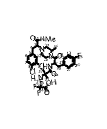 CNC(=O)C(Cc1ccc(Cl)c(Cl)c1)N1CCN(C(=O)C(Cc2ccc(F)cc2)NC(=O)C(C)(C)N)C(C)C1.O=C(O)C(F)(F)F